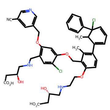 Cc1c(C2=CC=CC(Cl)(c3ccccc3)C2C)ccc(OCCNC[C@@H](O)CC(=O)O)c1COc1cc(OCc2cncc(C#N)c2)c(CNC[C@@H](O)CC(=O)O)cc1Cl